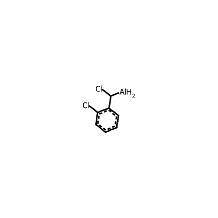 [AlH2][CH](Cl)c1ccccc1Cl